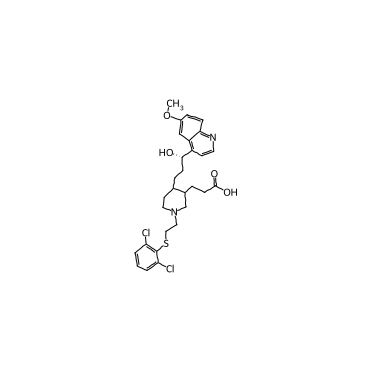 COc1ccc2nccc([C@@H](O)CCC3CCN(CCSc4c(Cl)cccc4Cl)CC3CCC(=O)O)c2c1